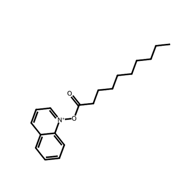 CCCCCCCCCC(=O)O[n+]1cccc2ccccc21